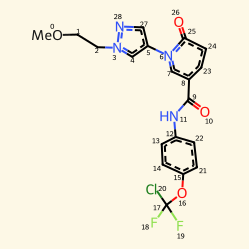 COCCn1cc(-n2cc(C(=O)Nc3ccc(OC(F)(F)Cl)cc3)ccc2=O)cn1